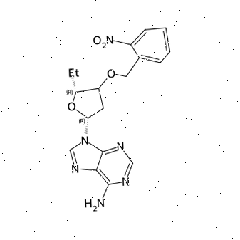 CC[C@H]1O[C@@H](n2cnc3c(N)ncnc32)CC1OCc1ccccc1[N+](=O)[O-]